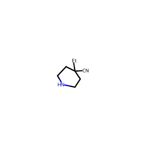 CCC1(C#N)CCNCC1